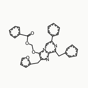 O=C(OCOc1c(Cc2ccco2)nc2c(Cc3ccccc3)nc(-c3ccccc3)cn12)c1ccccc1